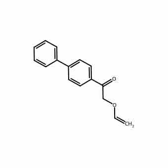 C=COCC(=O)c1ccc(-c2ccccc2)cc1